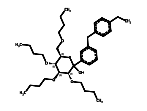 CCCCOC[C@H]1SC(O)(c2cccc(Cc3ccc(CC)cc3)c2)[C@H](OCCCC)[C@@H](OCCCC)[C@@H]1OCCCC